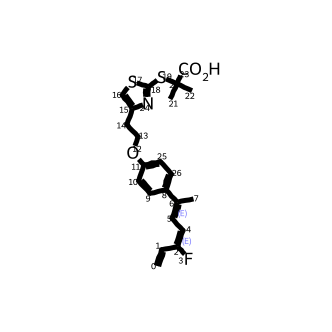 C=C/C(F)=C\C=C(/C)c1ccc(OCCc2csc(SC(C)(C)C(=O)O)n2)cc1